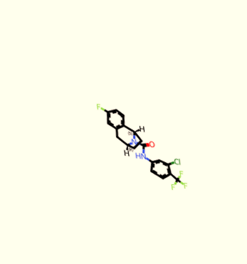 O=C(Nc1ccc(C(F)(F)F)c(Cl)c1)N1[C@@H]2CC[C@H]1c1ccc(F)cc1C2